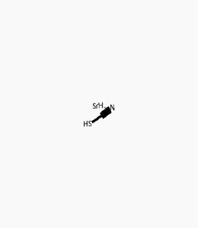 N#CS.[SrH2]